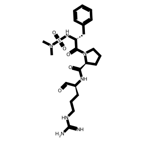 CN(C)S(=O)(=O)N[C@H](Cc1ccccc1)C(=O)N1CCC[C@H]1C(=O)N[C@H](C=O)CCCNC(=N)N